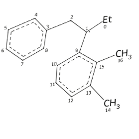 CC[C](Cc1ccccc1)c1cccc(C)c1C